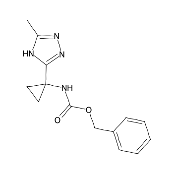 Cc1nnc(C2(NC(=O)OCc3ccccc3)CC2)[nH]1